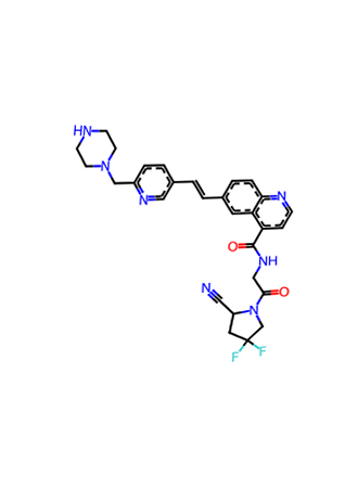 N#CC1CC(F)(F)CN1C(=O)CNC(=O)c1ccnc2ccc(C=Cc3ccc(CN4CCNCC4)nc3)cc12